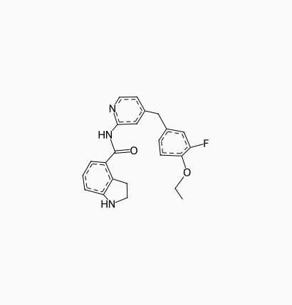 CCOc1ccc(Cc2ccnc(NC(=O)c3cccc4c3CCN4)c2)cc1F